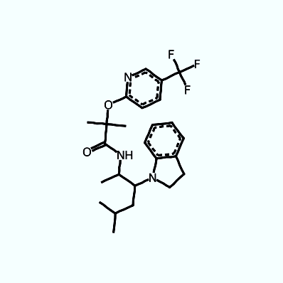 CC(C)CC(C(C)NC(=O)C(C)(C)Oc1ccc(C(F)(F)F)cn1)N1CCc2ccccc21